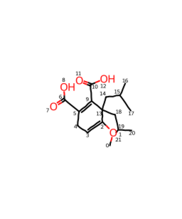 COC1=CCC(C(=O)O)=C(C(=O)O)C1(CC(C)C)CC(C)C